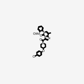 COc1ccccc1-n1cc(C)c2ncc(C(=O)N3CCC(Oc4ccc(Cl)cc4)CC3)n2c1=O